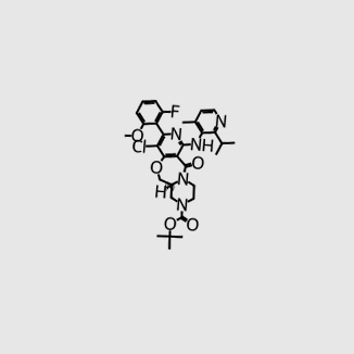 COc1cccc(F)c1-c1nc(Nc2c(C)ccnc2C(C)C)c2c(c1Cl)OC[C@H]1CN(C(=O)OC(C)(C)C)CCN1C2=O